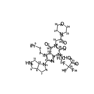 CC(C)CCn1c(N2CCC3CNCC32)nc2c1c(=O)n(CC(=O)N1CCOCC1)c(=O)n2C.O=C(O)C(F)(F)F